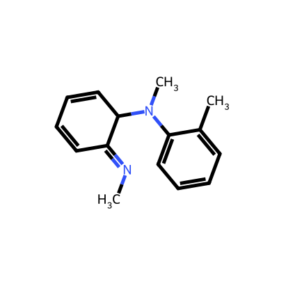 C/N=C1\C=CC=CC1N(C)c1ccccc1C